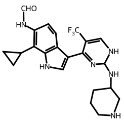 O=CNc1ccc2c(C3=NC(NC4CCCNC4)NC=C3C(F)(F)F)c[nH]c2c1C1CC1